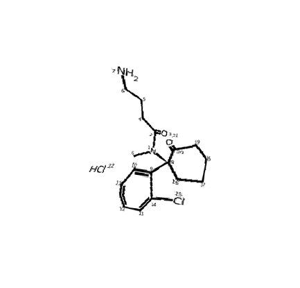 CN(C(=O)CCCN)[C@]1(c2ccccc2Cl)CCCCC1=O.Cl